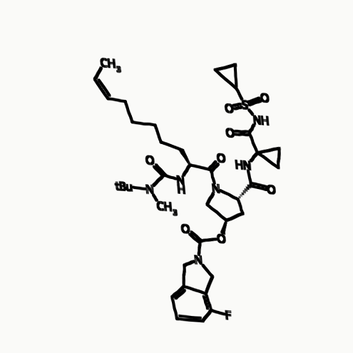 C/C=C\CCCCC[C@H](NC(=O)N(C)C(C)(C)C)C(=O)N1C[C@H](OC(=O)N2Cc3cccc(F)c3C2)C[C@H]1C(=O)NC1(C(=O)NS(=O)(=O)C2CC2)CC1